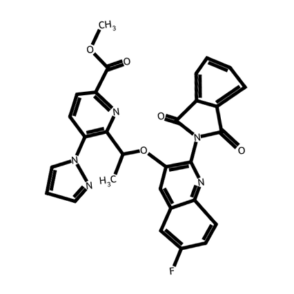 COC(=O)c1ccc(-n2cccn2)c(C(C)Oc2cc3cc(F)ccc3nc2N2C(=O)c3ccccc3C2=O)n1